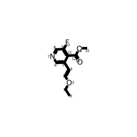 CCOC=Cc1cncc(F)c1C(=O)OC